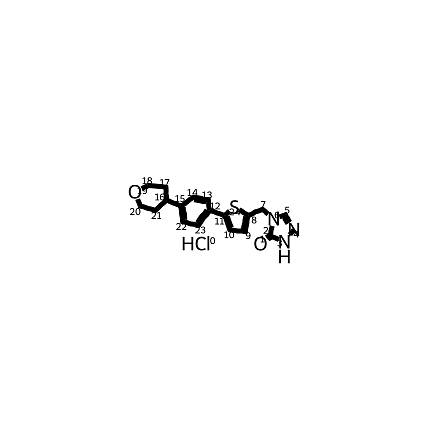 Cl.O=c1[nH]ncn1Cc1ccc(-c2ccc(C3CCOCC3)cc2)s1